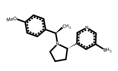 Bc1cncc([C@@H]2CCCN2[C@H](C)c2ccc(OC)cc2)c1